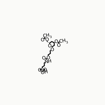 CC(=O)OC[C@@H]1C[C@H](OC(C)=O)C[C@H](OCCCOC(=O)NCCCS(=O)(=O)O)O1